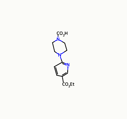 CCOC(=O)c1ccc(N2CCN(C(=O)O)CC2)nc1